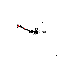 C=CC(=O)OCCCCCCCCCCCCOc1ccc2cc(-c3ccc(CCCCC)cc3OC(F)(F)F)c(=O)oc2c1